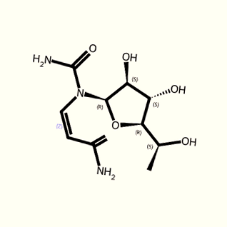 C=C(N)/C=C\N(C(N)=O)[C@@H]1O[C@H]([C@H](C)O)[C@@H](O)[C@@H]1O